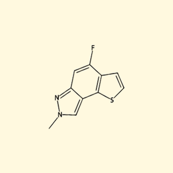 Cn1cc2c(cc(F)c3ccsc32)n1